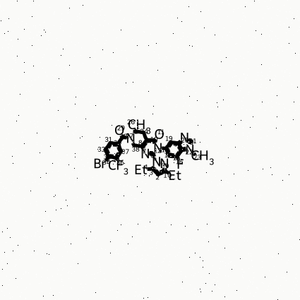 CCc1cc(CC)n(-c2nc3c(c(=O)n2-c2cc(F)c4c(c2)ncn4C)CC(C)N(C(=O)c2ccc(Br)c(C(F)(F)F)c2)C3)n1